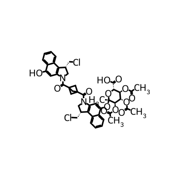 CC(=O)O[C@H]1[C@H](OC(C)=O)[C@@H](OC(C)=O)[C@](C)(Oc2cc3c(c4ccccc24)[C@H](CCl)CN3C(=O)C23CC(C(=O)N4C[C@@H](CCl)c5c4cc(O)c4ccccc54)(C2)C3)O[C@@H]1C(=O)O